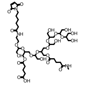 CNC(=O)CCCC(=O)OCC(COC(CO)OC(CO)COC(CO)OC(CO)CO)OC(CO)OCC(COC(=O)CCCC(=O)O)OC(CO)OCCNC(=O)CCCCCN1C(=O)C=CC1=O